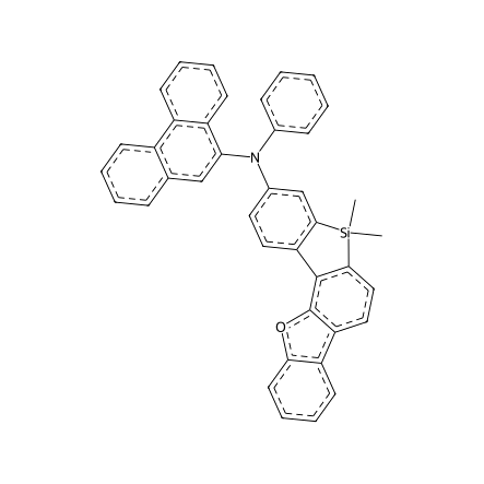 C[Si]1(C)c2cc(N(c3ccccc3)c3cc4ccccc4c4ccccc34)ccc2-c2c1ccc1c2oc2ccccc21